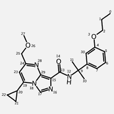 CCCOc1cccc(C(C)(C)NC(=O)c2ncn3c(C4CC4)cc(COC)nc23)c1